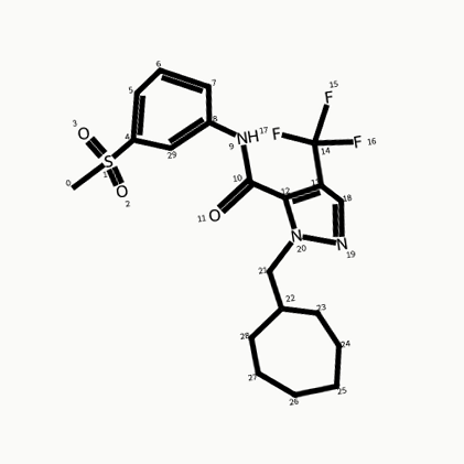 CS(=O)(=O)c1cccc(NC(=O)c2c(C(F)(F)F)cnn2CC2CCCCCC2)c1